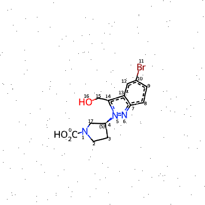 O=C(O)N1CC[C@H](n2nc3ccc(Br)cc3c2CO)C1